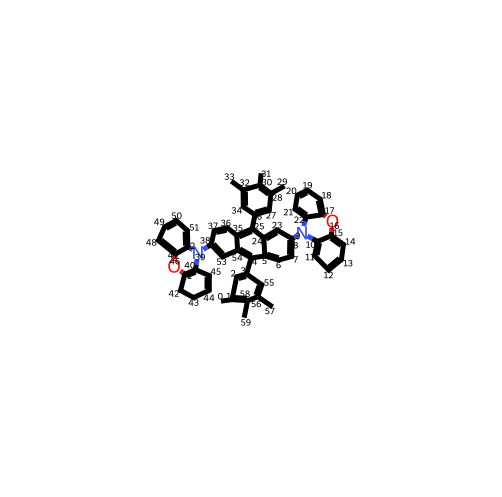 Cc1cc(-c2c3ccc(N4c5ccccc5Oc5ccccc54)cc3c(-c3cc(C)c(C)c(C)c3)c3ccc(N4C5=C(CCC=C5)Oc5ccccc54)cc23)cc(C)c1C